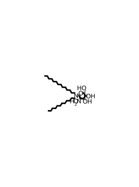 CCCCCCCCCCCCCCN(C(=O)CCCCCCCCCCC)[C@@H]1O[C@H](CO)[C@H](O)[C@H](O)[C@H]1N